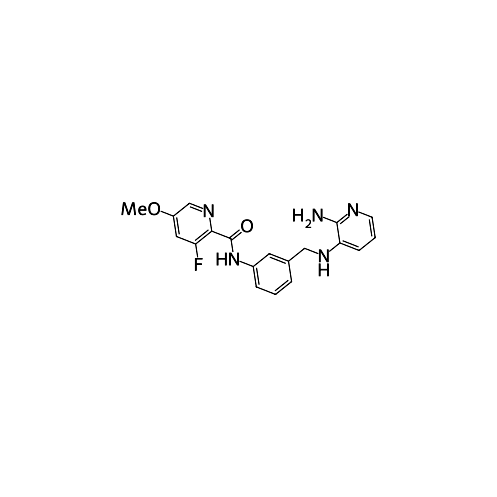 COc1cnc(C(=O)Nc2cccc(CNc3cccnc3N)c2)c(F)c1